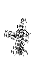 C=CCNC(=O)C(=O)C(CC1CCC1)NC(=O)[C@@H]1[C@@H]2[C@H](CN1C(=O)[C@@H](NC(=O)N[C@H](CN(C)S(=O)(=O)N(C)C)C(C)(C)C)C(C)(C)C)C2(C)C